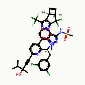 CC(C)C(C)(O)C#Cc1ccc(-c2cccc3c(NS(C)(=O)=O)nn(C)c23)c([C@H](Cc2cc(F)cc(F)c2)NC(=O)Cn2nc(C(F)(F)F)c3c2C(F)(F)[C@@H]2C=C[C@H]32)n1